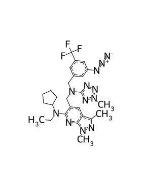 CCN(c1nc2c(cc1CN(Cc1cc(N=[N+]=[N-])cc(C(F)(F)F)c1)c1nnn(C)n1)c(C)nn2C)C1CCCC1